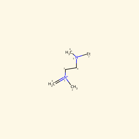 C=[N+](C)CCN(C)CC